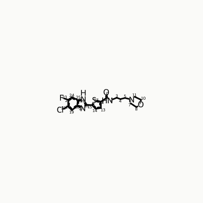 O=C(NCCCN1CCOCC1)c1ccc(-c2nc3cc(Cl)c(F)cc3[nH]2)s1